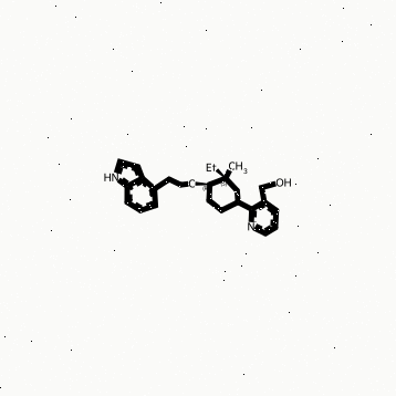 CC[C@@]1(C)CC(c2ncccc2CO)CC[C@H]1CCCc1cccc2[nH]ccc12